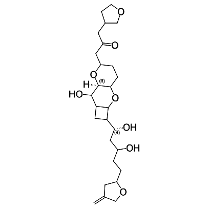 C=C1COC(CCC(O)C[C@@H](O)C2CC3C2OC2CCC(CC(=O)CC4CCOC4)O[C@@H]2C3O)C1